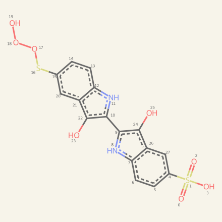 O=S(=O)(O)c1ccc2[nH]c(-c3[nH]c4ccc(SOOO)cc4c3O)c(O)c2c1